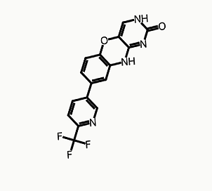 O=c1nc2c(c[nH]1)Oc1ccc(-c3ccc(C(F)(F)F)nc3)cc1N2